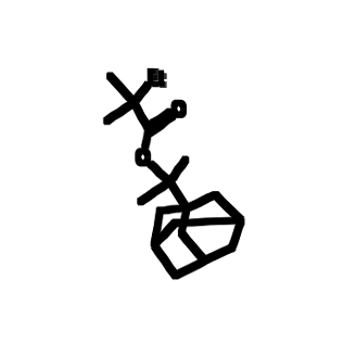 CCC(C)(C)C(=O)OC(C)(C)C12CC3CC(CC(C3)C1)C2